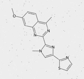 COc1ccc2c(C)nc(-c3nc(-c4nccs4)cn3C)nc2c1